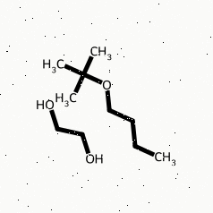 CCCCOC(C)(C)C.OCCO